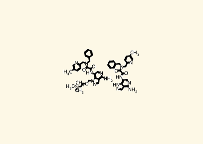 Cc1ccc(CN(Cc2ccccc2)C(=O)C(=O)Nc2cnc(N)c3cn[nH]c23)nc1.Cc1ccc(CN(Cc2ccccc2)C(=O)C(=O)Nc2cnc(N)c3cnn(COCC[Si](C)(C)C)c23)nc1